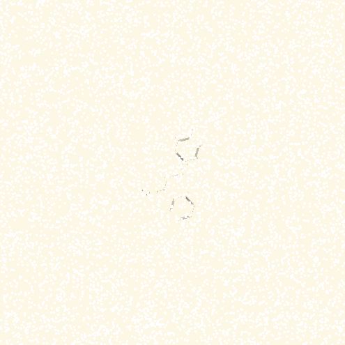 N#CC(OOc1ccc(F)cc1)c1ccccc1